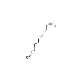 NCCCCCCCCCC=S